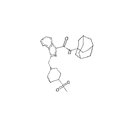 CS(=O)(=O)C1CCN(Cc2nc(C(=O)NC34CC5CC(CC(C5)C3)C4)n3ccccc23)CC1